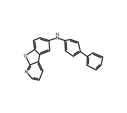 c1ccc(-c2ccc(Nc3ccc4oc5ncccc5c4c3)cc2)cc1